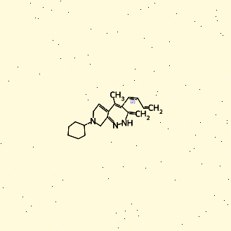 C=C/C=C\C1=C(C)C2=CCN(C3CCCCC3)CC2=NNC1=C